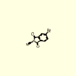 N#CN1C(=O)c2ccc(Br)cc2C1=O